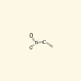 C=[C]=[Ti](=[O])=[O]